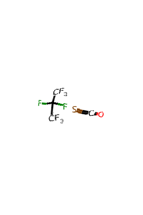 FC(F)(F)C(F)(F)C(F)(F)F.O=C=S